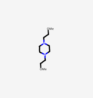 COCCN1CCN(CCOC)CC1